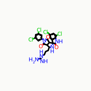 N=C(N)NCCCC1NC2(C(=O)Nc3c(Cl)cc(Cl)cc32)C2C(=O)N(c3cc(Cl)cc(Cl)c3)C(=O)C12